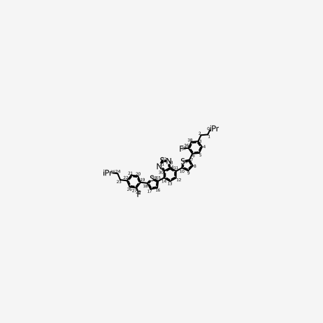 CC(C)CCc1ccc(-c2ccc(-c3ccc(-c4ccc(-c5ccc(CCC(C)C)cc5F)s4)c4nsnc34)s2)c(F)c1